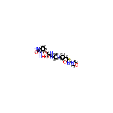 O=C1N=C(N2CCOCC2)SC1=Cc1ccc(N2CCC(NCC(O)COc3cccc4[nH]c(=O)[nH]c34)CC2)cc1